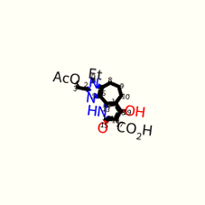 CCn1c(COC(C)=O)nc2c1CCCc1c-2[nH]c(=O)c(C(=O)O)c1O